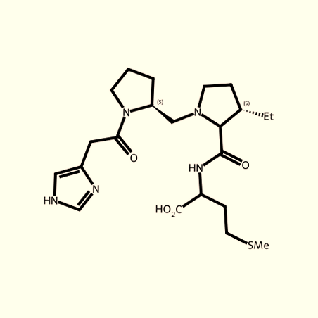 CC[C@H]1CCN(C[C@@H]2CCCN2C(=O)Cc2c[nH]cn2)C1C(=O)NC(CCSC)C(=O)O